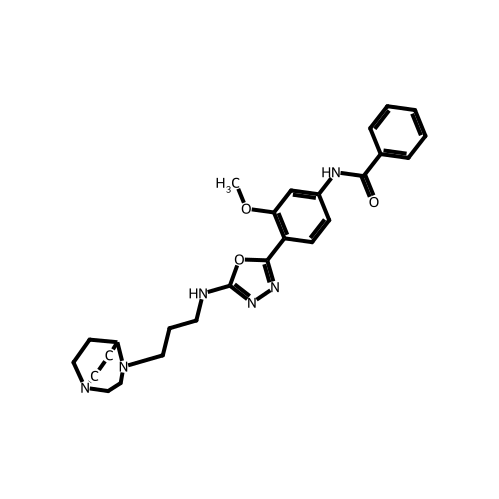 COc1cc(NC(=O)c2ccccc2)ccc1-c1nnc(NCCCN2CCN3CCC2CC3)o1